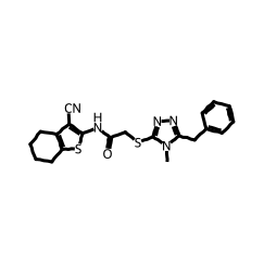 Cn1c(Cc2ccccc2)nnc1SCC(=O)Nc1sc2c(c1C#N)CCCC2